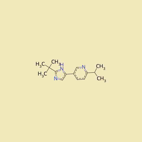 CC(C)c1ccc(-c2cnc(C(C)(C)C)[nH]2)cn1